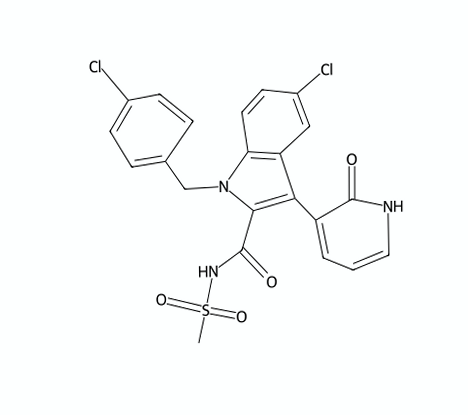 CS(=O)(=O)NC(=O)c1c(-c2ccc[nH]c2=O)c2cc(Cl)ccc2n1Cc1ccc(Cl)cc1